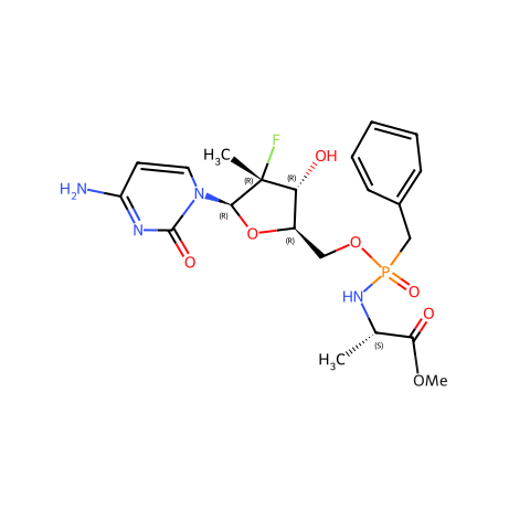 COC(=O)[C@H](C)NP(=O)(Cc1ccccc1)OC[C@H]1O[C@@H](n2ccc(N)nc2=O)[C@](C)(F)[C@@H]1O